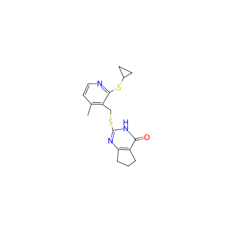 Cc1ccnc(SC2CC2)c1CSc1nc2c(c(=O)[nH]1)CCC2